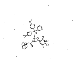 COc1ccc(C(OCC23CC(C(n4cc(C)c(=O)[nH]c4=O)O2)N(C(=O)CC24CC5CC(CC(C5)C2)C4)C3)(c2ccccc2)c2ccc(OC)cc2)cc1